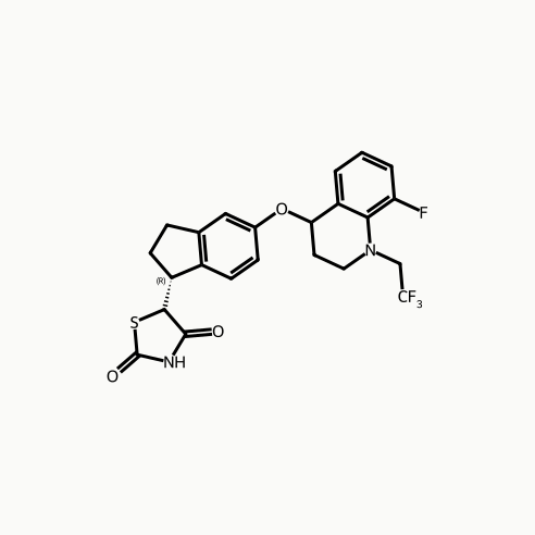 O=C1NC(=O)C([C@@H]2CCc3cc(OC4CCN(CC(F)(F)F)c5c(F)cccc54)ccc32)S1